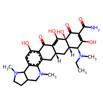 CCN(C)[C@@H]1C(O)=C(C(N)=O)C(=O)[C@@]2(O)C(O)=C3C(=O)c4c(O)cc5c(c4C[C@H]3C[C@@H]12)N(C)CC1CCN(C)C51